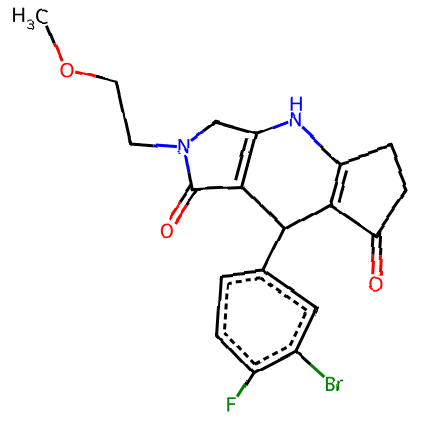 COCCN1CC2=C(C1=O)C(c1ccc(F)c(Br)c1)C1=C(CCC1=O)N2